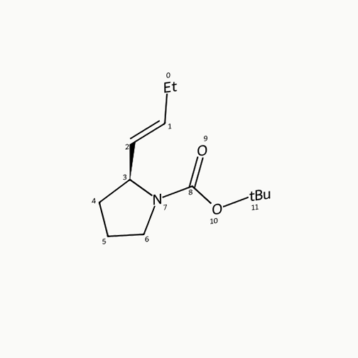 CC/C=C/[C@@H]1CCCN1C(=O)OC(C)(C)C